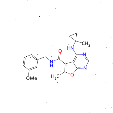 COc1cccc(CNC(=O)c2c(C)oc3ncnc(NC4(C)CC4)c23)c1